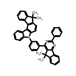 CC1(C)c2ccccc2-c2c1ccc1c2c2ccccc2n1-c1cccc(-c2nc(-c3ccccc3)nc3c2C(C)(C)c2ccccc2-3)c1